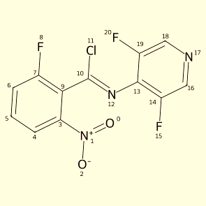 O=[N+]([O-])c1cccc(F)c1C(Cl)=Nc1c(F)cncc1F